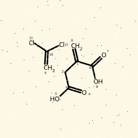 C=C(CC(=O)O)C(=O)O.C=C(Cl)Cl